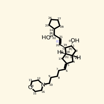 O[C@@H]1C[C@@H]2CC(=CCCCCN3CCOCC3)C[C@@H]2[C@H]1/C=C/[C@H](O)C1CCCC1